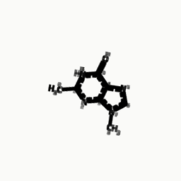 Cc1nc2c(ncn2C)c(=O)[nH]1